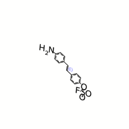 Nc1ccc(/C=C/c2ccc(OS(=O)(=O)F)cc2)cc1